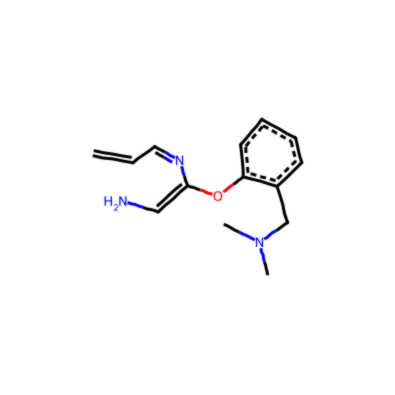 C=C/C=N\C(=C/N)Oc1ccccc1CN(C)C